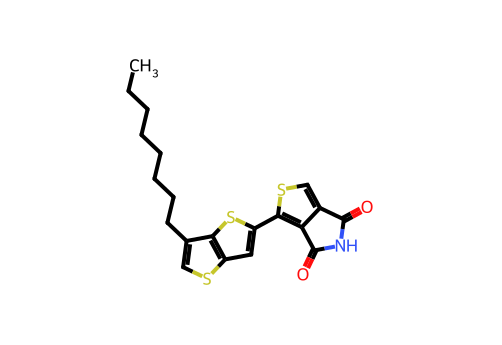 CCCCCCCCc1csc2cc(-c3scc4c3C(=O)NC4=O)sc12